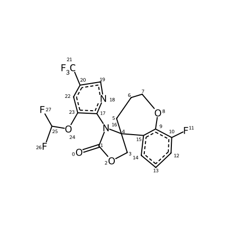 O=C1OCC2(CCCOc3c(F)cccc32)N1c1ncc(C(F)(F)F)cc1OC(F)F